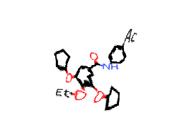 CCOc1c(OC2CCCC2)cc(C(=O)Nc2ccc(C(C)=O)cc2)cc1OC1CCCC1